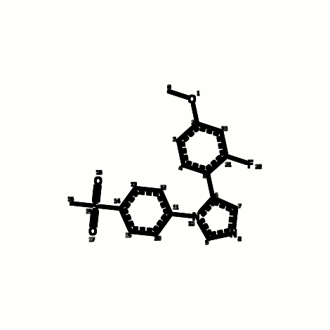 COc1ccc(-c2cncn2-c2ccc(S(C)(=O)=O)cc2)c(F)c1